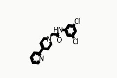 O=C(CN1CC=C(c2ccccn2)CC1)Nc1cc(Cl)cc(Cl)c1